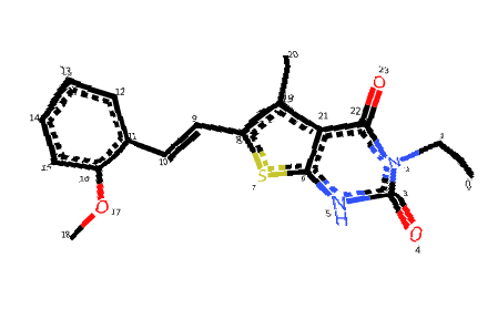 CCn1c(=O)[nH]c2sc(C=Cc3ccccc3OC)c(C)c2c1=O